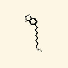 NCCCCCCCCc1ccc2c(c1)OCO2